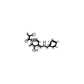 CC(Cl)C(=O)NC(C)C(O)/C(C=N)=C/NCc1ccccc1